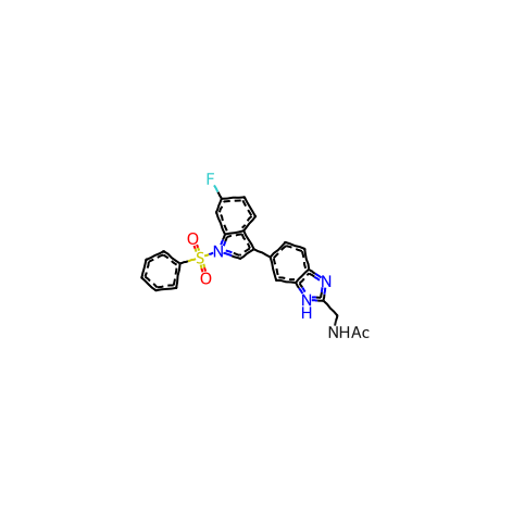 CC(=O)NCc1nc2ccc(-c3cn(S(=O)(=O)c4ccccc4)c4cc(F)ccc34)cc2[nH]1